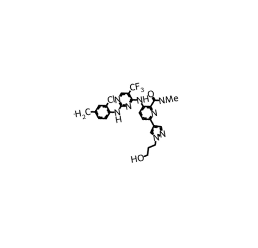 [CH2]c1ccc(Nc2ncc(C(F)(F)F)c(Nc3ccc(-c4cnn(CCCO)c4)nc3C(=O)NC)n2)c(Cl)c1